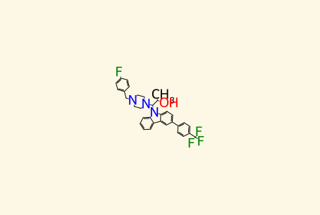 CC(O)C(N1CCN(Cc2ccc(F)cc2)CC1)n1c2ccccc2c2cc(-c3ccc(C(F)(F)F)cc3)ccc21